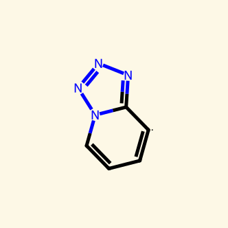 [c]1cccn2nnnc12